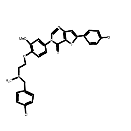 COc1cc(-n2cnc3cc(-c4ccc(Cl)cc4)sc3c2=O)ccc1OCCN(C)Cc1ccc(Cl)cc1